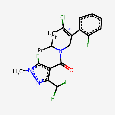 CCC(C(C)C)N(C/C(=C(\C)Cl)c1ccccc1F)C(=O)c1c(C(F)F)nn(C)c1F